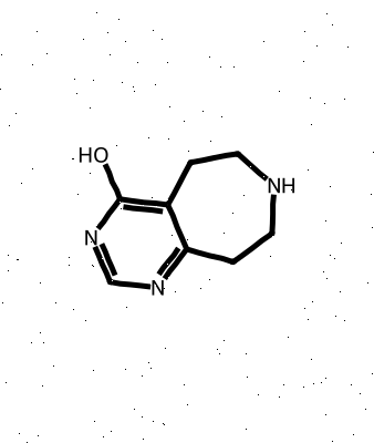 Oc1ncnc2c1CCNCC2